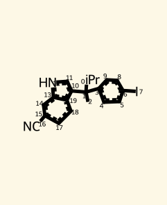 CC(C)C(C)(c1ccc(I)cc1)c1c[nH]c2cc(C#N)ccc12